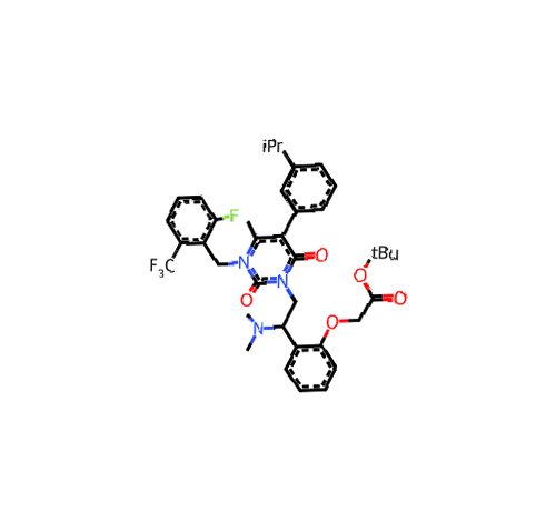 Cc1c(-c2cccc(C(C)C)c2)c(=O)n(CC(c2ccccc2OCC(=O)OC(C)(C)C)N(C)C)c(=O)n1Cc1c(F)cccc1C(F)(F)F